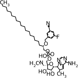 C=NC[C@]1(COP(=O)(O)OC[C@@H](CCCCCCCCCCCCCCCCCC)OCc2cc(F)cc(C#N)c2)O[C@@H](C2C(C)C=C3C(N)=NC=NN32)[C@H](O)[C@@H]1O